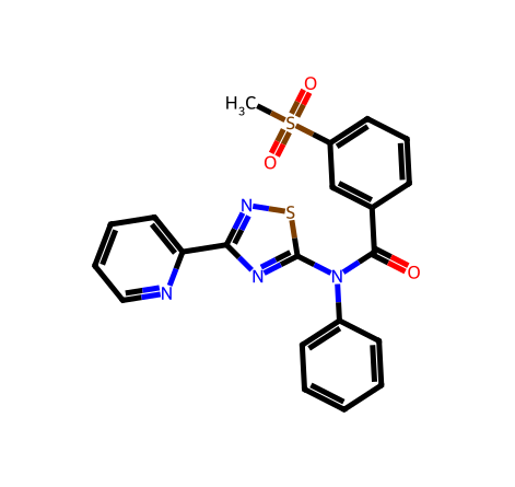 CS(=O)(=O)c1cccc(C(=O)N(c2ccccc2)c2nc(-c3ccccn3)ns2)c1